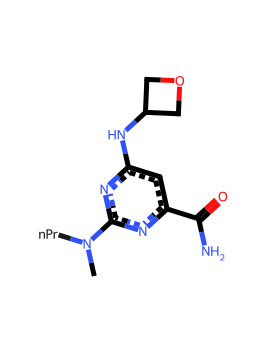 CCCN(C)c1nc(NC2COC2)cc(C(N)=O)n1